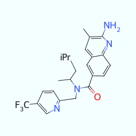 Cc1cc2cc(C(=O)N(Cc3ccc(C(F)(F)F)cn3)C(C)CC(C)C)ccc2nc1N